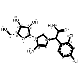 NC(=O)C(c1ccc(Cl)cc1Cl)N1C=C(N)N([C@@H]2O[C@H](CO)[C@@H](O)[C@H]2O)C1